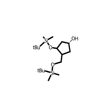 CC(C)(C)[Si](C)(C)OCC1C[C@@H](O)CC1O[Si](C)(C)C(C)(C)C